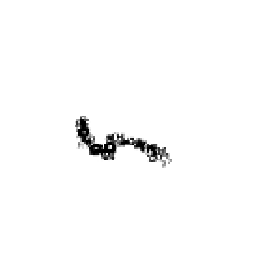 COc1cc2c(-c3ccc(NC(=O)Cc4ccc(C(F)(F)F)cc4)cc3)ncnc2cc1OCCCON1CC2(C1)CN(C(=O)OC(C)(C)C)C2